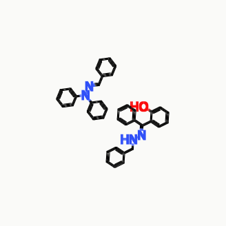 C(=NN(c1ccccc1)c1ccccc1)c1ccccc1.Oc1ccccc1C(=NNCc1ccccc1)c1ccccc1